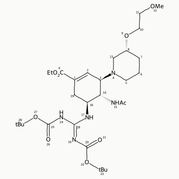 CCOC(=O)C1=C[C@@H](N2CCC[C@@H](OCCOC)C2)[C@H](NC(C)=O)[C@@H](N/C(=N\C(=O)OC(C)(C)C)NC(=O)OC(C)(C)C)C1